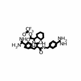 N=C(N)c1ccc(CNC(=O)C(Cc2ccc(C(=N)N)cc2)C(=O)NC(C(=O)OC(=O)C(F)(F)F)C2CCCCC2)cc1